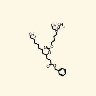 CCCCCCCCC(CCC(=O)OCc1ccccc1)OC(=O)OCCCCN(CC)CC